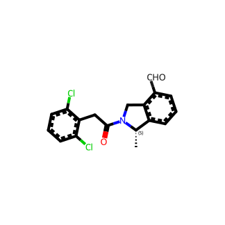 C[C@H]1c2cccc(C=O)c2CN1C(=O)Cc1c(Cl)cccc1Cl